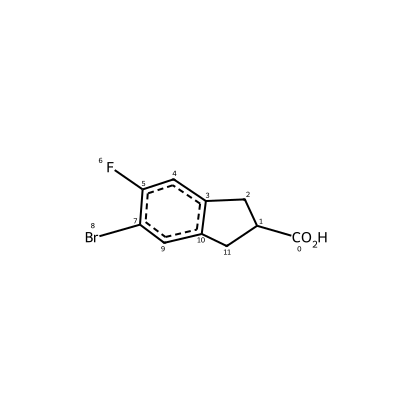 O=C(O)C1Cc2cc(F)c(Br)cc2C1